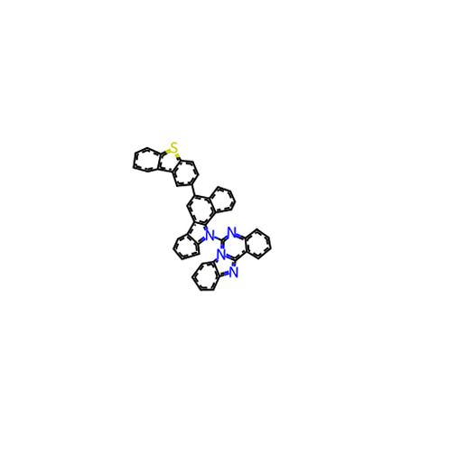 c1ccc2c(c1)nc(-n1c3ccccc3c3cc(-c4ccc5sc6ccccc6c5c4)c4ccccc4c31)n1c3ccccc3nc21